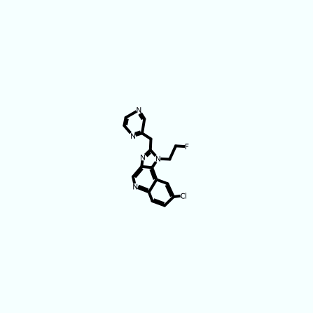 FCCn1c(Cc2cnccn2)nc2cnc3ccc(Cl)cc3c21